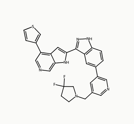 FC1(F)CCN(Cc2cncc(-c3ccc4[nH]nc(-c5cc6c(-c7ccsc7)cncc6[nH]5)c4c3)c2)C1